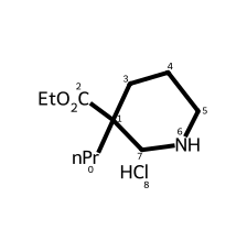 CCCC1(C(=O)OCC)CCCNC1.Cl